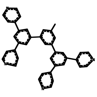 Cc1cc(-c2cc(-c3ccncc3)cc(-c3ccncc3)c2)cc(-c2cc(-c3ccncc3)cc(-c3ccncc3)c2)c1